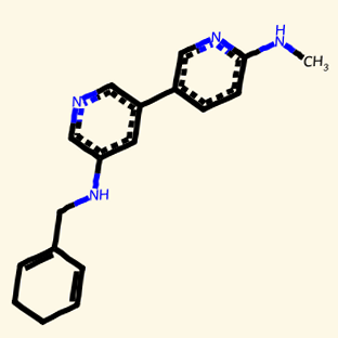 CNc1ccc(-c2cncc(NCC3=CCCC=C3)c2)cn1